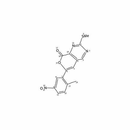 CSc1ncc2cc(-c3cc([N+](=O)[O-])ccc3C)oc(=O)c2n1